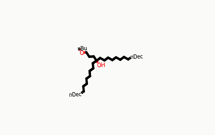 CCCCCCCCCCCCCCCCCCC(O)(CCCCCCCCCCCCCCCCCC)CCCOCCCC